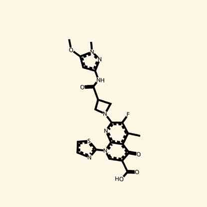 COc1cc(NC(=O)C2CN(c3nc4c(c(C)c3F)c(=O)c(C(=O)O)cn4-c3nccs3)C2)nn1C